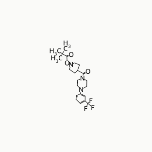 CC(C)(C)C(=O)ON1CCC(C(=O)N2CCN(c3cccc(C(F)(F)F)c3)CC2)CC1